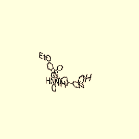 CCOc1ccc2c(c1)C(=O)N(C[C@@]1(c3ccc(-c4ccnc(O)c4)cc3)NC(=O)NC1=O)C2